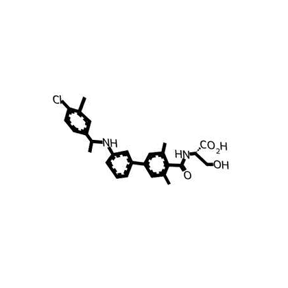 Cc1cc(C(C)Nc2cccc(-c3cc(C)c(C(=O)N[C@@H](CO)C(=O)O)c(C)c3)c2)ccc1Cl